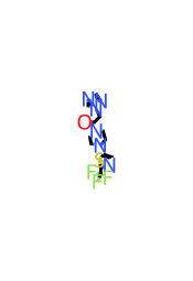 O=C(Cn1cncn1)N1CCN(c2cnc(C(F)(F)F)s2)CC1